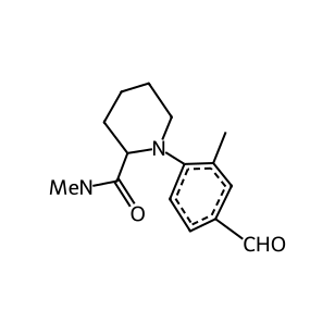 CNC(=O)C1CCCCN1c1ccc(C=O)cc1C